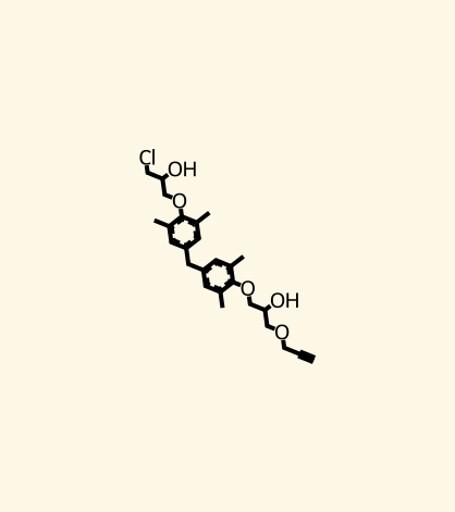 C#CCOCC(O)COc1c(C)cc(Cc2cc(C)c(OCC(O)CCl)c(C)c2)cc1C